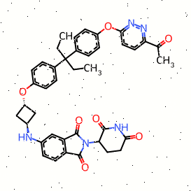 CCC(CC)(c1ccc(Oc2ccc(C(C)=O)nn2)cc1)c1ccc(O[C@H]2C[C@H](Nc3ccc4c(c3)C(=O)N(C3CCC(=O)NC3=O)C4=O)C2)cc1